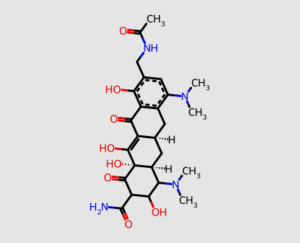 CC(=O)NCc1cc(N(C)C)c2c(c1O)C(=O)C1=C(O)[C@]3(O)C(=O)C(C(N)=O)C(O)C(N(C)C)[C@@H]3C[C@@H]1C2